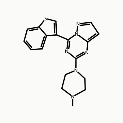 CN1CCN(c2nc(-c3csc4ccccc34)n3nccc3n2)CC1